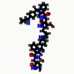 CSc1cc(C)[nH]c(=O)c1CNC(=O)c1c(C)n([C@H](C)C2CCC(NC3(F)CC3Cc3cc(SC)c(CNC(=O)c4c(C)n([C@H](C)C5CCC(NCC6(F)CC6)CC5)c5ccccc45)c(=O)[nH]3)CC2)c2ccccc12